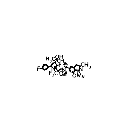 COc1cc(C(=O)NCC(O)(c2nc(-c3ccc(F)cc3)cc(C(C)(C)O)c2F)C(F)(F)F)cc2cc(C)nnc12